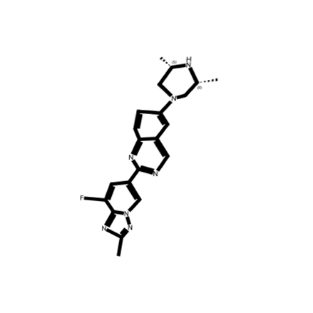 Cc1nc2c(F)cc(-c3ncc4cc(N5C[C@@H](C)N[C@@H](C)C5)ccc4n3)cn2n1